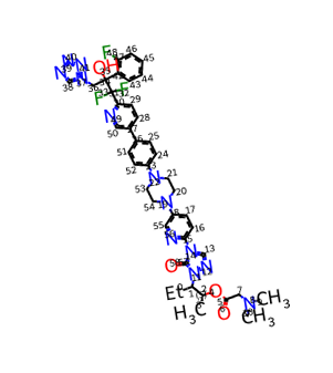 CCC([C@H](C)OC(=O)CN(C)C)n1ncn(-c2ccc(N3CCN(c4ccc(-c5ccc(C(F)(F)C(O)(Cn6cnnn6)c6ccccc6F)nc5)cc4)CC3)cn2)c1=O